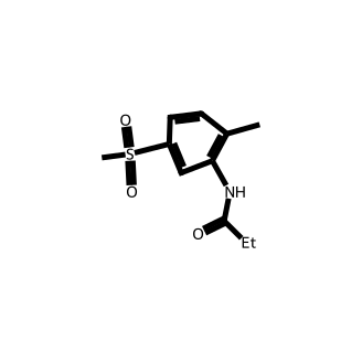 CCC(=O)Nc1cc(S(C)(=O)=O)ccc1C